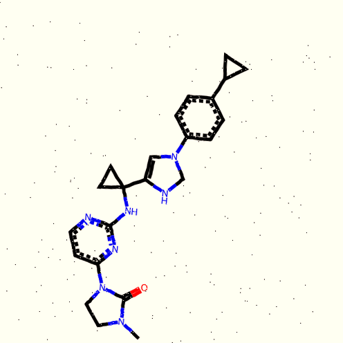 CN1CCN(c2ccnc(NC3(C4=CN(c5ccc(C6CC6)cc5)CN4)CC3)n2)C1=O